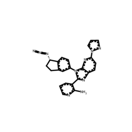 [N-]=[N+]=N[C@H]1CCc2cc(-n3c(-c4cccnc4N)nc4ccc(-n5cccn5)nc43)ccc21